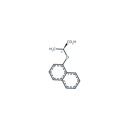 C[C@H](Oc1cccc2ccccc12)C(=O)O